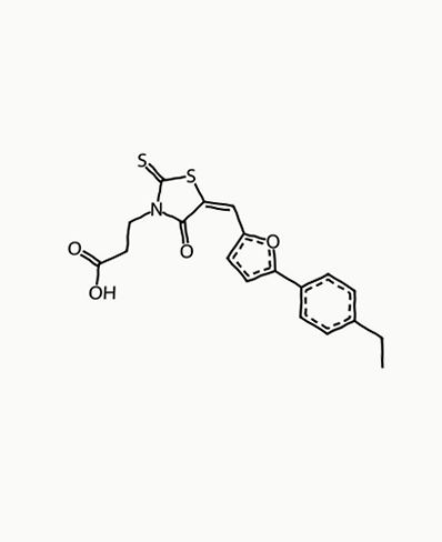 CCc1ccc(-c2ccc(/C=C3/SC(=S)N(CCC(=O)O)C3=O)o2)cc1